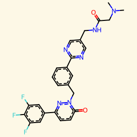 CN(C)CC(=O)NCc1cnc(-c2cccc(Cn3nc(-c4cc(F)c(F)c(F)c4)ccc3=O)c2)nc1